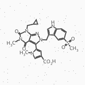 Cn1cc(C(=O)O)cc1-c1c2c(=O)n(C)c(=O)n(CC3CC3)c2nn1Cc1c[nH]c2ccc(S(C)(=O)=O)cc12